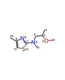 COC(C)CN(C)c1nc(C)cs1